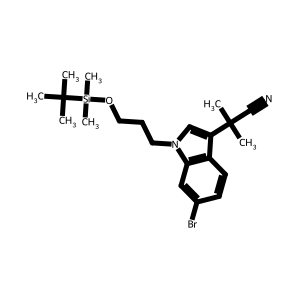 CC(C)(C#N)c1cn(CCCO[Si](C)(C)C(C)(C)C)c2cc(Br)ccc12